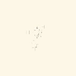 Cc1c(C(=O)O)ncnc1N1CCc2ccc(C(F)(F)F)cc2C1